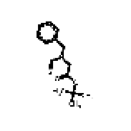 CC(C)(C)OC(=O)CN(C=S)Cc1ccccc1